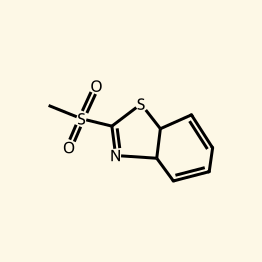 CS(=O)(=O)C1=NC2C=CC=CC2S1